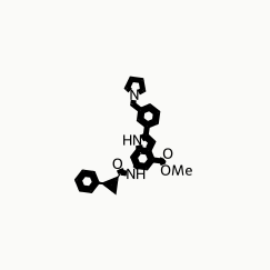 COC(=O)c1cc(NC(=O)[C@@H]2C[C@H]2c2ccccc2)cc2[nH]c(-c3cccc(CN4CCCC4)c3)cc12